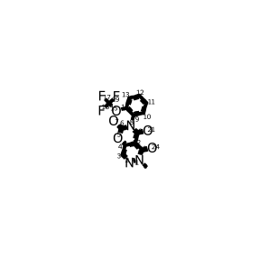 Cn1ncc2oc(=O)n(-c3ccccc3OC(F)(F)F)c(=O)c2c1=O